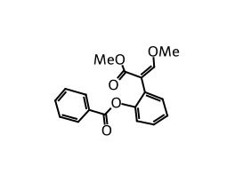 COC=C(C(=O)OC)c1ccccc1OC(=O)c1ccccc1